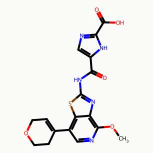 COc1ncc(C2=CCOCC2)c2sc(NC(=O)c3cnc(C(=O)O)[nH]3)nc12